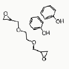 C(COCC1CO1)OCC1CO1.Oc1ccccc1.Oc1ccccc1